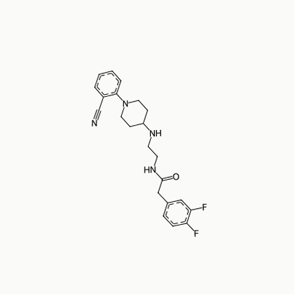 N#Cc1ccccc1N1CCC(NCCNC(=O)Cc2ccc(F)c(F)c2)CC1